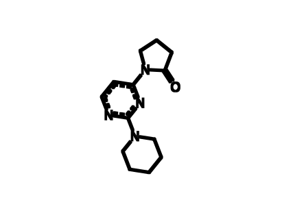 O=C1CCCN1c1ccnc(N2CCCCC2)n1